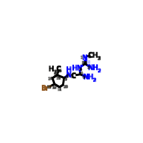 C/N=C(\N)NC(N)CNC1CCC(Br)C[C@H]1C